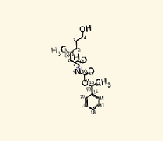 C[C@@H](CCCO)C/[SH](=O)=N/C(=O)O[C@@H](C)c1ccccc1